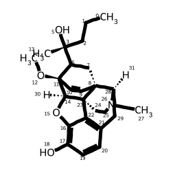 CCC[C@@](C)(O)C1C[C@@]23C=C[C@]1(OC)[C@@H]1Oc4c(O)ccc5c4[C@@]12CCN(C)[C@@H]3C5